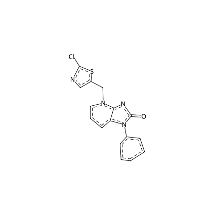 O=c1nc2n(Cc3cnc(Cl)s3)cccc-2n1-c1ccccc1